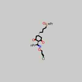 CCCC(=NOCC=CCl)[C@H]1C(=O)C[C@H](CCCC[S+]([O-])CCC)CC1=O